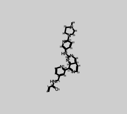 C=CC(=O)NCc1ccnc(-c2nccc3cnc(Nc4ccc(N5CCN(C)CC5)nc4)nc23)c1